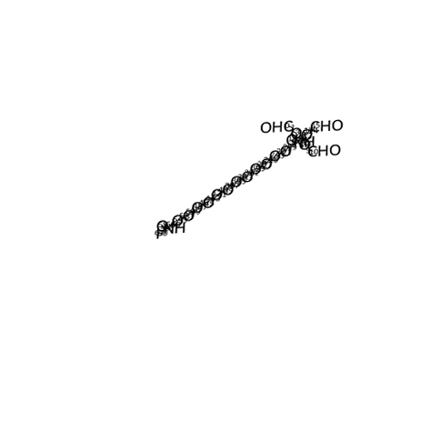 O=CCCOCC(COCCC=O)(COCCC=O)NC(=O)CCOCCOCCOCCOCCOCCOCCOCCOCCOCCOCCOCCOCCNC(=O)CI